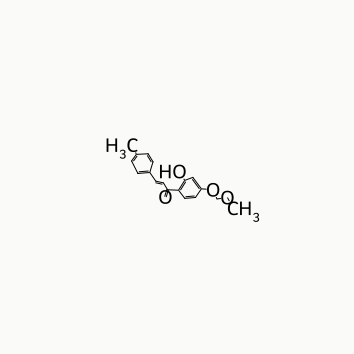 COCOc1ccc(C(=O)/C=C/c2ccc(C)cc2)c(O)c1